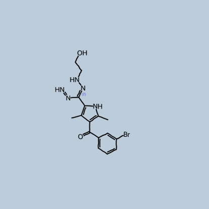 Cc1[nH]c(/C(N=N)=N/NCCO)c(C)c1C(=O)c1cccc(Br)c1